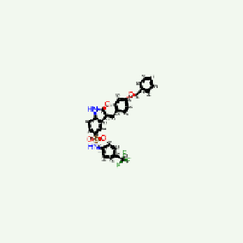 O=C1Nc2ccc(S(=O)(=O)Nc3ccc(C(F)(F)F)cc3)cc2C1=Cc1ccc(OCc2ccccc2)cc1